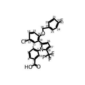 O=C(O)c1cccc(-n2c(-c3cc(Cl)ccc3OCc3ccc(F)cc3)ccc2C(F)(F)F)c1